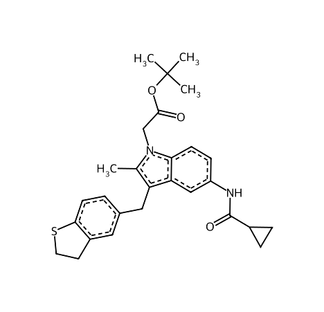 Cc1c(Cc2ccc3c(c2)CCS3)c2cc(NC(=O)C3CC3)ccc2n1CC(=O)OC(C)(C)C